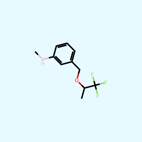 CBc1cccc(COC(C)C(F)(F)F)c1